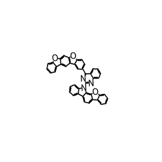 c1ccc2c(-c3ccc4oc5cc6oc7ccccc7c6cc5c4c3)nc(-n3c4ccccc4c4ccc5c6ccccc6oc5c43)nc2c1